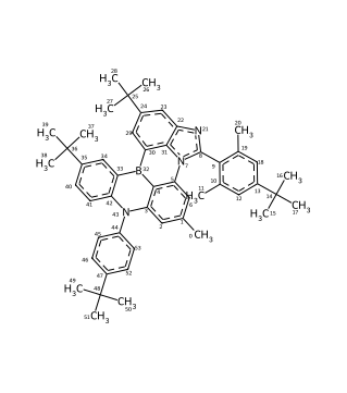 Cc1cc2c3c(c1)-n1c(-c4c(C)cc(C(C)(C)C)cc4C)nc4cc(C(C)(C)C)cc(c41)B3c1cc(C(C)(C)C)ccc1N2c1ccc(C(C)(C)C)cc1